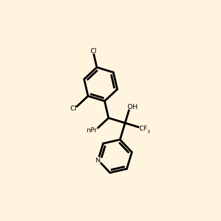 CCCC(c1ccc(Cl)cc1Cl)C(O)(c1cccnc1)C(F)(F)F